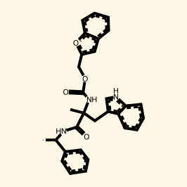 [CH2]C(NC(=O)C(C)(Cc1c[nH]c2ccccc12)NC(=O)OCc1cc2ccccc2o1)c1ccccc1